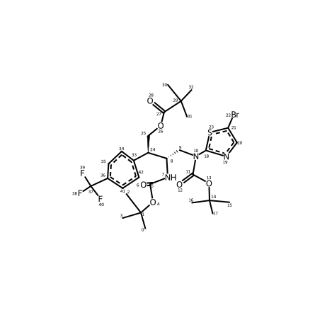 CC(C)(C)OC(=O)N[C@@H](CN(C(=O)OC(C)(C)C)c1ncc(Br)s1)[C@H](COC(=O)C(C)(C)C)c1ccc(C(F)(F)F)cc1